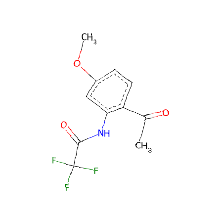 COc1ccc(C(C)=O)c(NC(=O)C(F)(F)F)c1